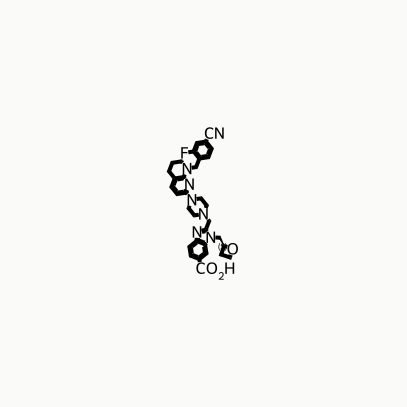 N#Cc1ccc(CN2CCCc3ccc(N4CCN(Cc5nc6ccc(C(=O)O)cc6n5C[C@@H]5CCO5)CC4)nc32)c(F)c1